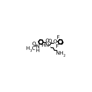 CC(=O)Nc1cccc(C(=O)N[C@@H](CCCCN)C(=O)COc2c(F)c#ccc2F)c1